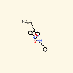 O=C(O)CCCCC=C(c1cccnc1)c1ccccc1C1=N[C@H](C(=O)NCCCCC2CCCCC2)CO1